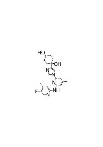 Cc1cc(Nc2cc(C)c(F)cn2)nc(-n2cnc([C@]3(O)CC[C@@H](O)CC3)c2)c1